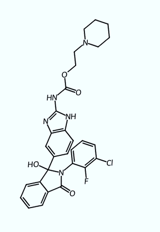 O=C(Nc1nc2cc(C3(O)c4ccccc4C(=O)N3c3cccc(Cl)c3F)ccc2[nH]1)OCCN1CCCCC1